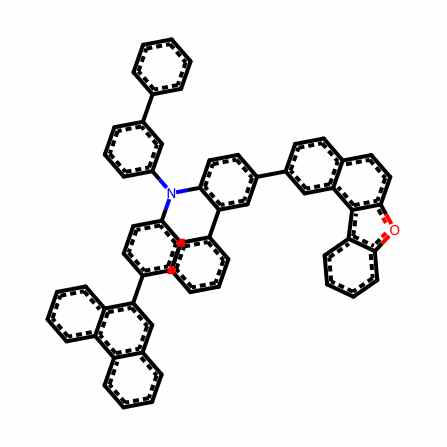 c1ccc(-c2cccc(N(c3ccc(-c4cc5ccccc5c5ccccc45)cc3)c3ccc(-c4ccc5ccc6oc7ccccc7c6c5c4)cc3-c3ccccc3)c2)cc1